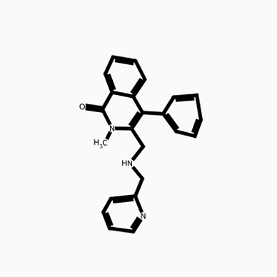 Cn1c(CNCc2ccccn2)c(-c2ccccc2)c2ccccc2c1=O